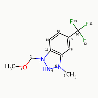 COCN1NN(C)c2cc(C(F)(F)F)ccc21